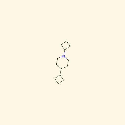 C1CC(C2CCN(C3CCC3)CC2)C1